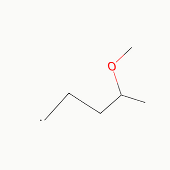 [CH2]CCC(C)OC